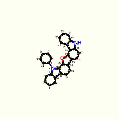 c1ccc(-n2c3ccccc3c3ccc4c5ccc6[nH]c7ccccc7c6c5oc4c32)cc1